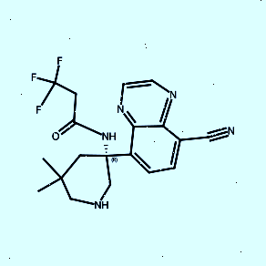 CC1(C)CNC[C@](NC(=O)CC(F)(F)F)(c2ccc(C#N)c3nccnc23)C1